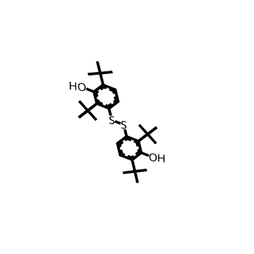 CC(C)(C)c1ccc(SSc2ccc(C(C)(C)C)c(O)c2C(C)(C)C)c(C(C)(C)C)c1O